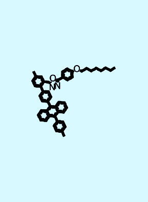 CCCCCCCCOc1ccc(-c2nnc(-c3cc(C)ccc3-c3ccc(-c4c5ccccc5c(-c5ccc(C)cc5)c5ccccc45)cc3)o2)cc1